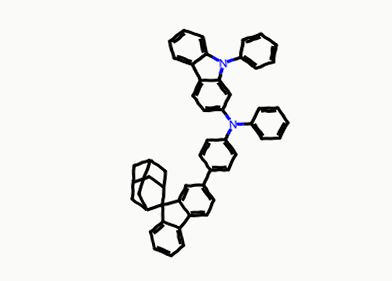 c1ccc(N(c2ccc(-c3ccc4c(c3)C3(c5ccccc5-4)C4CC5CC(C4)CC3C5)cc2)c2ccc3c4ccccc4n(-c4ccccc4)c3c2)cc1